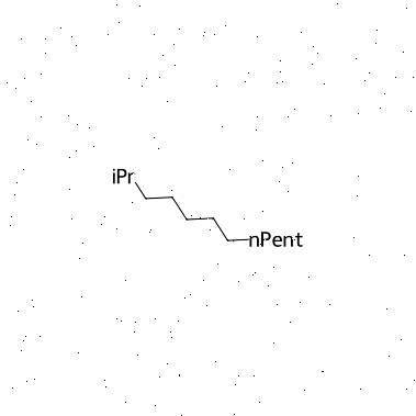 CCC[CH]CCCCCCC(C)C